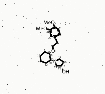 COc1ccc(CCO[C@H]2CCCC[C@H]2N2CC[C@H](O)C2)cc1OC